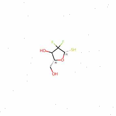 OC[C@H]1O[C@@H](S)C(F)(F)C1O